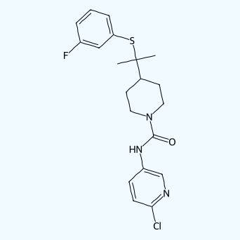 CC(C)(Sc1cccc(F)c1)C1CCN(C(=O)Nc2ccc(Cl)nc2)CC1